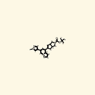 Cn1cc(-c2cc(C3=CC4CN(C(=O)OC(C)(C)C)CC4C3)c3ccnn3c2)cn1